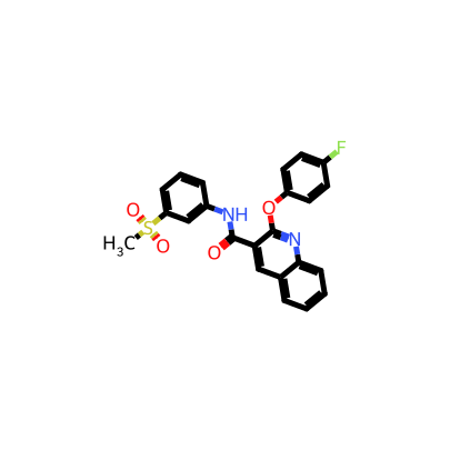 CS(=O)(=O)c1cccc(NC(=O)c2cc3ccccc3nc2Oc2ccc(F)cc2)c1